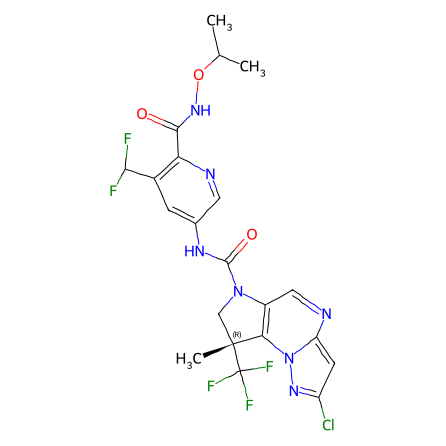 CC(C)ONC(=O)c1ncc(NC(=O)N2C[C@@](C)(C(F)(F)F)c3c2cnc2cc(Cl)nn32)cc1C(F)F